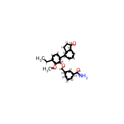 CCc1ccc(-c2cccc3c2CCC3=O)c(OCc2cccc(C(N)=O)c2)c1OC